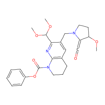 COC1CCN(Cc2cc3c(nc2C(OC)OC)N(C(=O)Oc2ccccc2)CCC3)C1=C=O